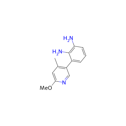 COc1cc(C)c(-c2cccc(N)c2N)cn1